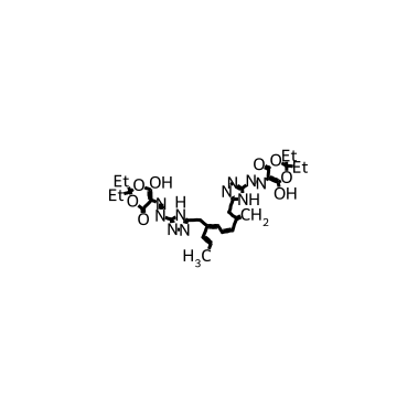 C=C(\C=C/C=C(\C=C\C)Cc1nnc(N=NC2=C(O)OC(CC)(CC)OC2=O)[nH]1)Cc1nnc(N=NC2=C(O)OC(CC)(CC)OC2=O)[nH]1